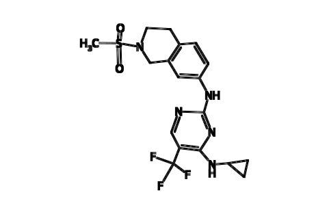 CS(=O)(=O)N1CCc2ccc(Nc3ncc(C(F)(F)F)c(NC4CC4)n3)cc2C1